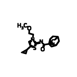 COCCn1cc(C2CC2)s/c1=N\C(=O)C12CC3CC(CC1C3)C2